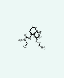 CCN(C)C(=O)Oc1cccc2[nH]cc(CCCN)c12